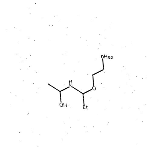 CCCCCCCCOC(CC)NC(C)O